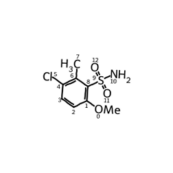 COc1ccc(Cl)c(C)c1S(N)(=O)=O